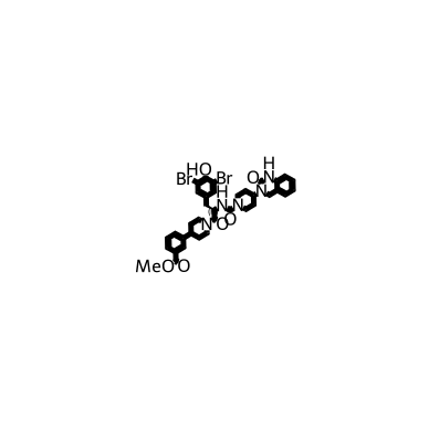 COC(=O)c1cccc(C2CCN(C(=O)[C@@H](Cc3cc(Br)c(O)c(Br)c3)NC(=O)N3CCC(N4Cc5ccccc5NC4=O)CC3)CC2)c1